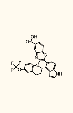 O=C(O)c1ccc2nc(-c3ccc4[nH]ccc4c3)c(N3CCCc4cc(OC(F)(F)F)ccc43)nc2c1